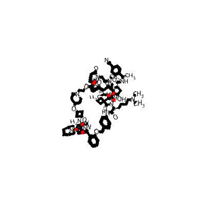 CC(C)[C@@H](C(=O)N1C[C@H](O)C[C@H]1C(=O)N[C@H](C)c1ccc(C#N)cc1)c1cc(OCCN2CCC(OC3CC(Oc4cc(N5C6CCC5CN(c5cc(-c7ccccc7OCc7ccc(NC(=O)[C@H](CCCCN(C)C)N(CCCCCN(C)CCN8C(=O)C=CC8=O)C(=O)C8(C(N)=O)CCC8)cc7)nnc5N)C6)ccn4)C3)CC2)no1